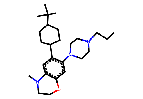 CCCN1CCN(c2cc3c(cc2C2CCC(C(C)(C)C)CC2)N(C)CCO3)CC1